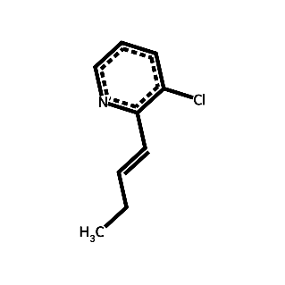 CC/C=C/c1ncccc1Cl